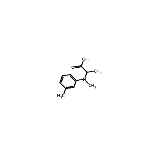 Cc1cccc(N(C)C(C)C(=O)O)c1